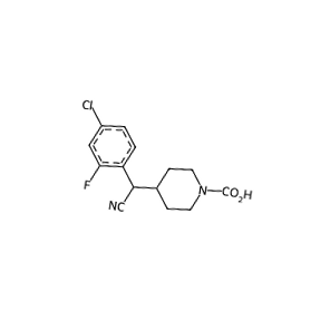 N#CC(c1ccc(Cl)cc1F)C1CCN(C(=O)O)CC1